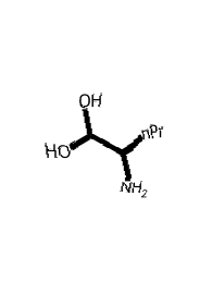 CCCC(N)C(O)O